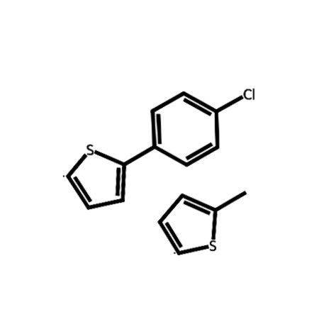 Cc1cc[c]s1.Clc1ccc(-c2cc[c]s2)cc1